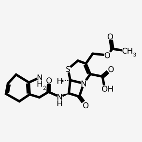 CC(=O)OCC1=C(C(=O)O)N2C(=O)[C@@H](NC(=O)CC3=C(N)CC=CC3)[C@H]2SC1